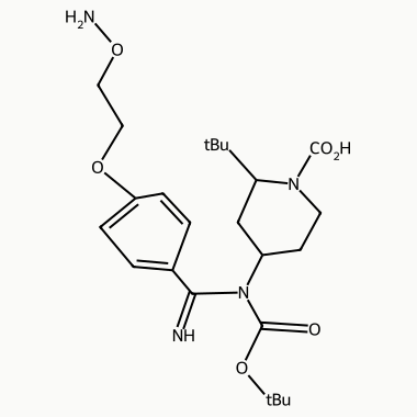 CC(C)(C)OC(=O)N(C(=N)c1ccc(OCCON)cc1)C1CCN(C(=O)O)C(C(C)(C)C)C1